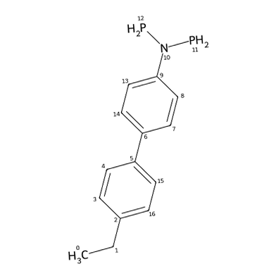 CCc1ccc(-c2ccc(N(P)P)cc2)cc1